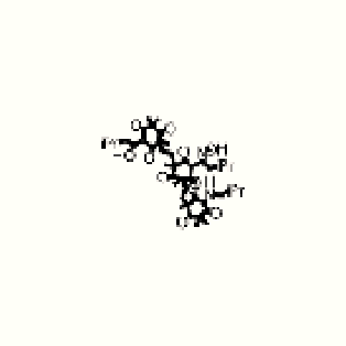 CC(C)CNC1C(=O)C(C)(C)C(=O)C(C)(CCC2(C)C(=O)C(/C(CC(C)C)=N/O)C(=O)C(C)(CCC3(C)C(=O)C(C(O)CC(C)C)C(=O)C(C)(C)C3=O)C2=O)C1=O